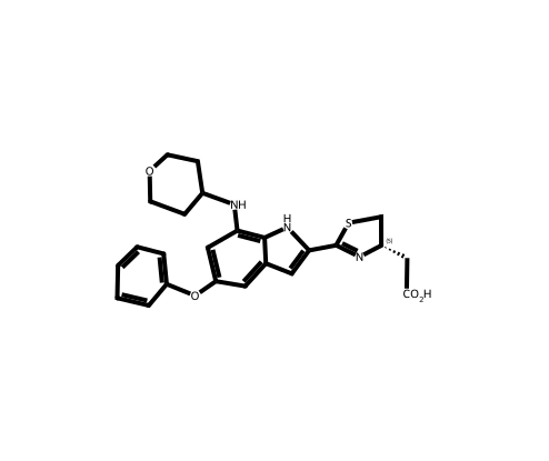 O=C(O)C[C@H]1CSC(c2cc3cc(Oc4ccccc4)cc(NC4CCOCC4)c3[nH]2)=N1